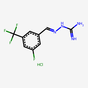 Cl.N=C(N)N/N=C/c1cc(F)cc(C(F)(F)F)c1